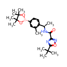 Cc1cc(B2OC(C)(C)C(C)(C)O2)ccc1[C@@H](C)NC(=O)c1noc(C(C)(C)C)n1